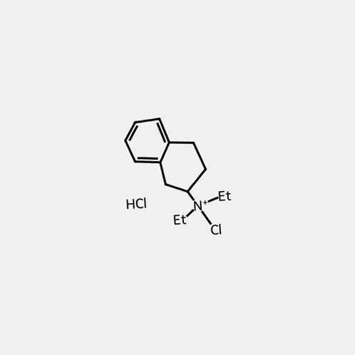 CC[N+](Cl)(CC)C1CCc2ccccc2C1.Cl